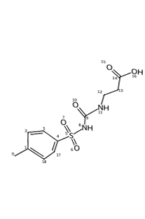 Cc1ccc(S(=O)(=O)NC(=O)NCCC(=O)O)cc1